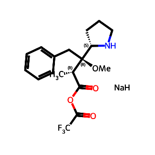 CO[C@@](Cc1ccccc1)([C@@H]1CCCN1)[C@@H](C)C(=O)OC(=O)C(F)(F)F.[NaH]